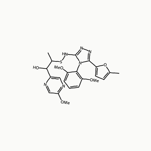 COc1cnc(C(O)C(C)SNc2nnc(-c3ccc(C)o3)n2-c2c(OC)cccc2OC)cn1